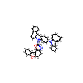 c1ccc2c(c1)ccc1c2c2ccc(-n3c4ccccc4c4ccccc43)cc2n1-c1nc2ccc3oc4ccccc4c3c2o1